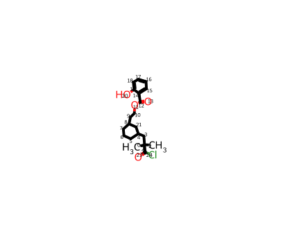 CC(C)(CC1CCCC(CCOC(=O)c2ccccc2O)C1)C(=O)Cl